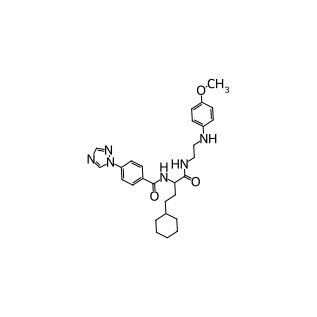 COc1ccc(NCCNC(=O)C(CCC2CCCCC2)NC(=O)c2ccc(-n3cncn3)cc2)cc1